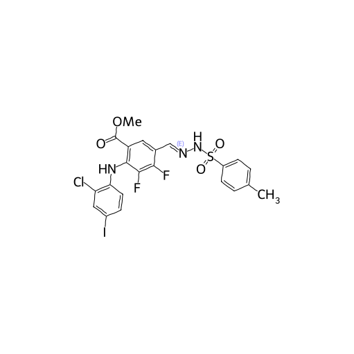 COC(=O)c1cc(/C=N/NS(=O)(=O)c2ccc(C)cc2)c(F)c(F)c1Nc1ccc(I)cc1Cl